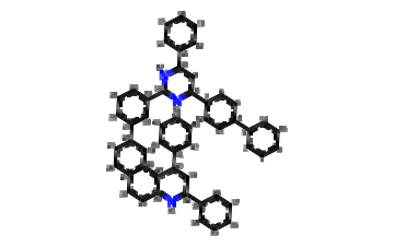 c1ccc(-c2ccc(-c3cc(-c4ccccc4)nc(-c4cccc(-c5ccc6ccc7nc(-c8ccccc8)cc(-c8ccccc8)c7c6c5)c4)n3)cc2)cc1